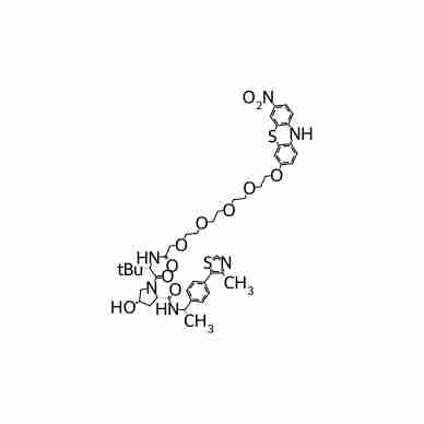 Cc1ncsc1-c1ccc([C@H](C)NC(=O)[C@@H]2C[C@@H](O)CN2C(=O)[C@@H](NC(=O)COCCOCCOCCOCCOc2ccc3c(c2)Sc2cc([N+](=O)[O-])ccc2N3)C(C)(C)C)cc1